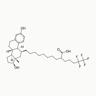 C[C@]12C[C@H](CCCCCCCCC(CCCC(F)(F)C(F)(F)F)C(=O)O)[C@@H]3c4ccc(O)cc4CC[C@H]3[C@@H]1CC[C@@H]2O